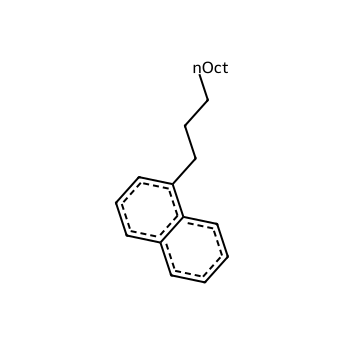 [CH2]CCCCCCCCCCc1cccc2ccccc12